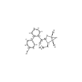 NC[C@@H]1[C@H]2C[C@H]2CN1C(=O)c1ccccc1-c1ccc(F)cc1